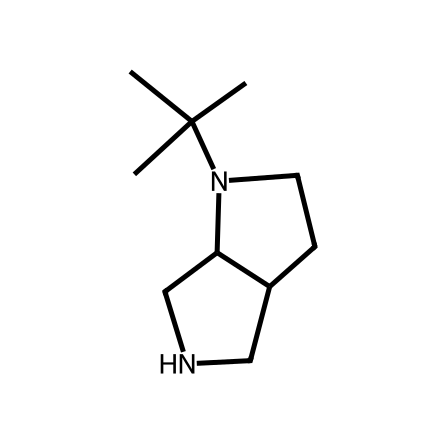 CC(C)(C)N1CCC2CNCC21